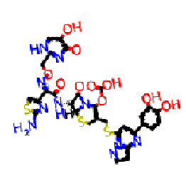 Nc1nc(/C(=N/OCc2nc(=O)c(O)c[nH]2)C(=O)N[C@@H]2C(=O)N3C(OC(=O)O)=C(CSc4cc(-c5ccc(O)c(O)c5)nc5ccnn45)CS[C@H]23)cs1